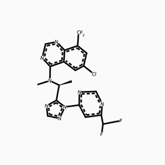 C[C@@H](c1ncnn1-c1cc(C(F)F)ncn1)N(C)c1ncnc2c(C(F)(F)F)cc(Cl)cc12